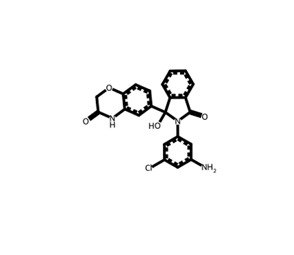 Nc1cc(Cl)cc(N2C(=O)c3ccccc3C2(O)c2ccc3c(c2)NC(=O)CO3)c1